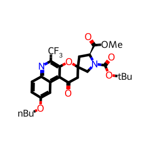 CCCCOc1ccc2nc(C(F)(F)F)c3c(c2c1)C(=O)CC1(C[C@@H](C(=O)OC)N(C(=O)OC(C)(C)C)C1)O3